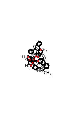 C[C@H](NC(=O)c1ccccc1[C@@H]1N2C(=O)CCC(=O)N2[C@@H](c2ccccc2C(=O)N[C@@H](C)c2ccccc2)P1c1ccccc1P1[C@H](c2ccccc2C(=O)N[C@@H](C)c2ccccc2)N2C(=O)CCC(=O)N2[C@H]1c1ccccc1C(=O)N[C@@H](C)c1ccccc1)c1ccccc1